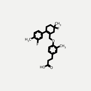 Cc1ccc(C2=C(COc3ccc(CCC(=O)O)cc3C)CC(C)(F)CC2)cc1F